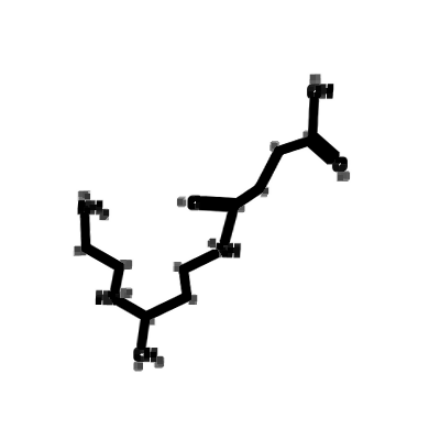 CC(CCNC(=O)CCC(=O)O)NCCN